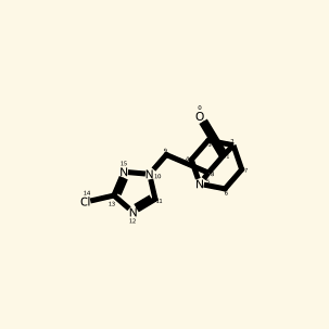 O=C1C2CCN(CC2)C1Cn1cnc(Cl)n1